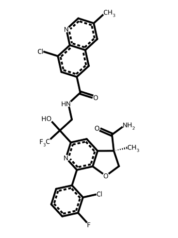 Cc1cnc2c(Cl)cc(C(=O)NCC(O)(c3cc4c(c(-c5cccc(F)c5Cl)n3)OC[C@]4(C)C(N)=O)C(F)(F)F)cc2c1